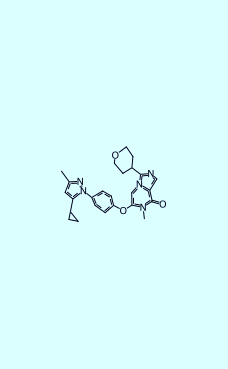 Cc1cc(C2CC2)n(-c2ccc(Oc3cn4c(C5CCOCC5)ncc4c(=O)n3C)cc2)n1